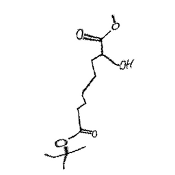 COC(=O)C(O)CCCCCC(=O)OC(C)(C)C